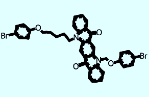 O=c1c2ccccc2n(CCCCCOc2ccc(Br)cc2)c2cc3c(=O)c4ccccc4n(COc4ccc(Br)cc4)c3cc12